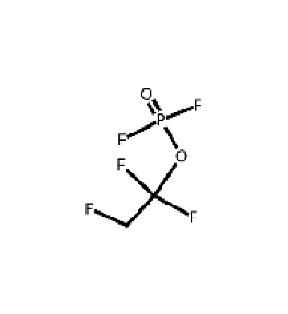 O=P(F)(F)OC(F)(F)CF